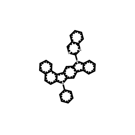 c1ccc(-n2c3cc4c5ccccc5n(-c5ncc6ccccc6n5)c4cc3c3c4ccccc4ccc32)cc1